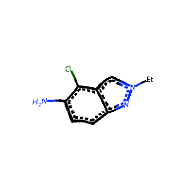 CCn1cc2c(Cl)c(N)ccc2n1